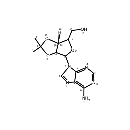 CC1(C)OC2C(n3cnc4c(N)ncnc43)OC(CO)[C@H]2O1